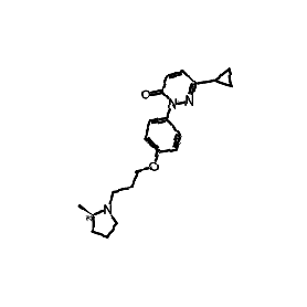 C[C@@H]1CCCN1CCCOc1ccc(-n2nc(C3CC3)ccc2=O)cc1